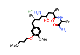 COCCCOc1cc(C[C@@H](C[C@H](N)[C@@H](O)C[C@H](C(=O)N[C@H](C(N)=O)C(C)C)C(C)C)C(C)C)ccc1OC.Cl